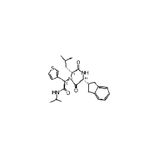 CC(C)C[C@@H]1C(=O)N[C@H](C2Cc3ccccc3C2)C(=O)N1[C@@H](C(=O)NC(C)C)c1ccsc1